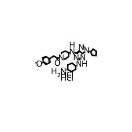 COc1ccc(CC(=O)N2CCC(Nc3nc(N[C@H]4CC[C@H](N)CC4)nc4c3ncn4C3CCCC3)CC2)cc1.Cl.Cl